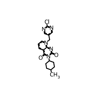 CC1CCC(n2c(=O)nc3n(Cc4cnc(Cl)nc4)cccc-3c2=O)CC1